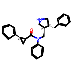 O=C(C1C[C@H]1c1ccccc1)N(C[C@H]1CNC[C@@H]1Cc1ccccc1)c1ccccc1